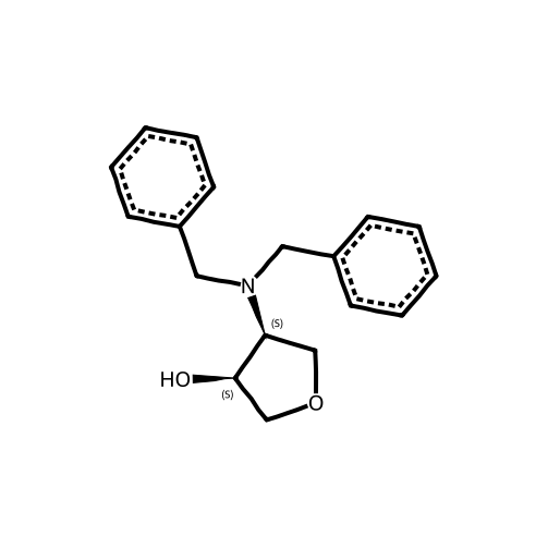 O[C@@H]1COC[C@@H]1N(Cc1ccccc1)Cc1ccccc1